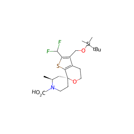 C[C@H]1C[C@@]2(CCN1C(=O)O)OCCc1c2sc(C(F)F)c1CO[Si](C)(C)C(C)(C)C